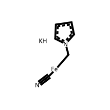 N#[C][Fe][CH2]n1cccc1.[KH]